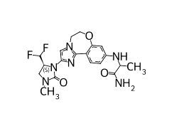 CC(Nc1ccc2c(c1)OCCn1cc(N3C(=O)N(C)C[C@H]3C(F)F)nc1-2)C(N)=O